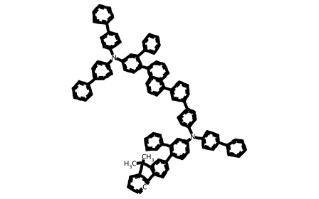 CC1(C)c2ccccc2-c2ccc(-c3ccc(N(c4ccc(-c5ccccc5)cc4)c4ccc(-c5cccc(-c6cccc7c(-c8ccc(N(c9ccc(-c%10ccccc%10)cc9)c9ccc(-c%10ccccc%10)cc9)cc8-c8ccccc8)cccc67)c5)cc4)cc3-c3ccccc3)cc21